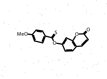 COc1ccc(C(=S)Oc2ccc3ccc(=O)oc3c2)cc1